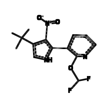 CC(C)(C)c1c[nH]c(-c2cccnc2OC(F)F)c1[N+](=O)[O-]